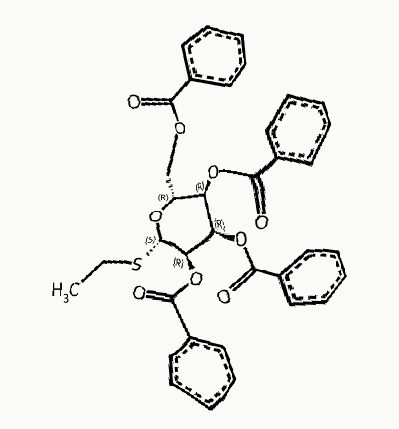 CCS[C@@H]1O[C@H](COC(=O)c2ccccc2)[C@@H](OC(=O)c2ccccc2)[C@@H](OC(=O)c2ccccc2)[C@H]1OC(=O)c1ccccc1